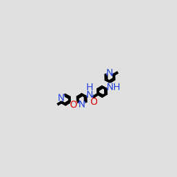 Cc1cc(Nc2ccc(C(=O)Nc3ccc(Oc4ccnc(C)c4)nc3)cc2)ccn1